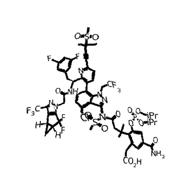 CC(C)OP(=O)(Oc1cc(C(N)=O)cc(CC(=O)O)c1C(C)(C)CC(=O)N(c1nn(CC(F)(F)F)c2c(-c3ccc(C#CC(C)(C)S(C)(=O)=O)nc3[C@H](Cc3cc(F)cc(F)c3)NC(=O)Cn3nc(C(F)(F)F)c4c3C(F)(F)[C@@H]3C[C@H]43)ccc(Cl)c12)S(C)(=O)=O)OC(C)C